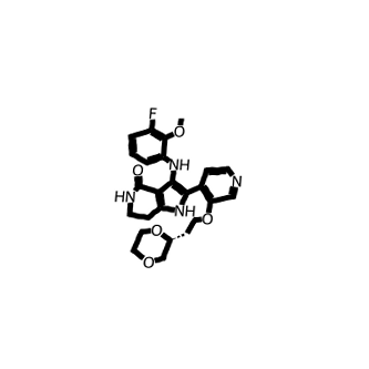 COc1c(F)cccc1Nc1c(-c2ccncc2OCC[C@@H]2COCCO2)[nH]c2c1C(=O)NCC2